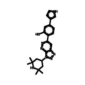 CC1(C)CC(n2nnc3cc(-c4ccc(-c5cc[nH]c5)cc4O)nnc32)CC(C)(C)N1